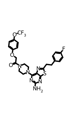 Nc1nc(N2CCN(C(=O)COc3ccc(OC(F)(F)F)cc3)CC2)c2nc(CCc3ccc(F)cc3)sc2n1